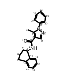 Cc1c(C(=O)N[C@@H]2CCCc3ccccc32)cnn1-c1ccccc1